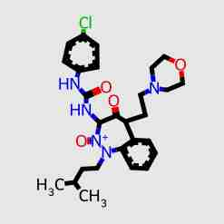 CC(C)CCN1c2ccccc2C(CCN2CCOCC2)C(=O)C(NC(=O)Nc2ccc(Cl)cc2)[N+]1=O